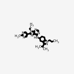 CCCn1nc(C(C)C)c2c1CCC(Nc1ncnc3c1nc(-c1cnc(C)nc1)n3CC)C2